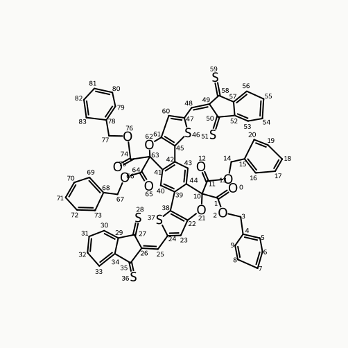 O=C(OCc1ccccc1)C1(C(=O)OCc2ccccc2)Oc2cc(C=C3C(=S)c4ccccc4C3=S)sc2-c2cc3c(cc21)-c1sc(C=C2C(=S)c4ccccc4C2=S)cc1OC3(C(=O)OCc1ccccc1)C(=O)OCc1ccccc1